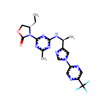 CC[C@H]1COC(=O)N1c1nc(C)nc(N[C@@H](C)c2cn(-c3cnc(C(F)(F)F)cn3)cn2)n1